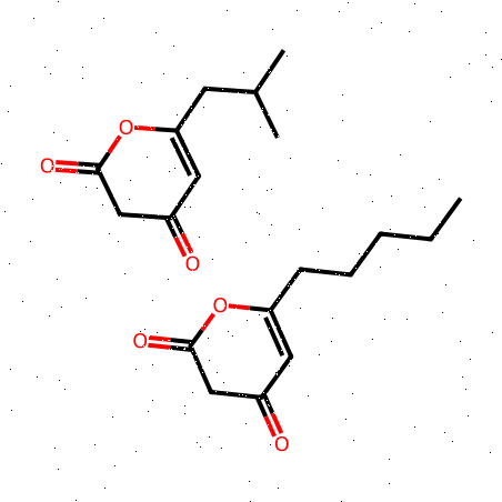 CC(C)CC1=CC(=O)CC(=O)O1.CCCCCC1=CC(=O)CC(=O)O1